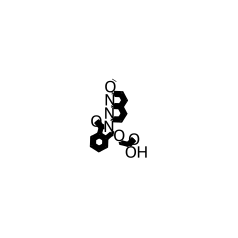 COc1ccc2ccc(N3C(=O)c4ccccc4C3OCC(=O)O)nc2n1